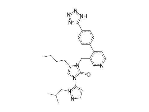 CCCCc1cn(-c2ccnn2CC(C)C)c(=O)n1Cc1cnccc1-c1ccc(-c2nnn[nH]2)cc1